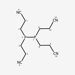 N#CCCP(CCC#N)P(CCC#N)CCC#N